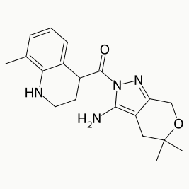 Cc1cccc2c1NCCC2C(=O)n1nc2c(c1N)CC(C)(C)OC2